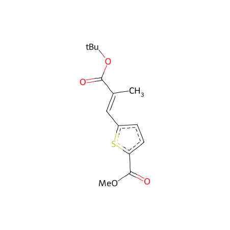 COC(=O)c1ccc(/C=C(\C)C(=O)OC(C)(C)C)s1